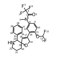 CN(C(=O)C(F)(F)F)c1ccc(OC(F)F)c(C2=CC3(CCCNC3c3ccccc3)OC2)c1